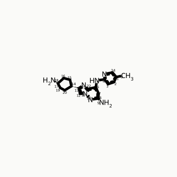 Cc1ccc(Nc2cc(N)nn3cc([C@H]4CC[C@@H](N)CC4)nc23)nc1